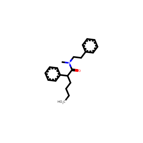 CN(CCc1ccccc1)C(=O)C(CCCC(=O)O)c1ccccc1